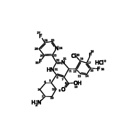 Cl.NC1CCC(C2=C(C(=O)O)C(c3ccc(F)c(F)c3Cl)N=C(c3ncc(F)cc3F)N2)CC1